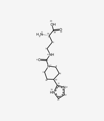 N[C@@H](CCNC(=O)N1CCC(c2ncc[nH]2)CC1)C(=O)O